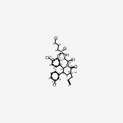 C=CC[C@@]1(C)CC(c2cccc(Cl)c2)C(c2ccc(Cl)cc2)N(C(CC)CNS(=O)(=O)CCCCl)C1=O